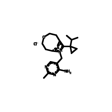 Cc1ncc(C[n+]2c3sc(c2C2(C(C)C)CC2)CCOCC3)c(N)n1.[Cl-]